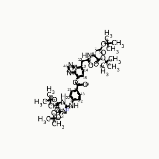 CC(C)(C)OC(=O)C[C@@H](NC(=O)Cc1ccc(OC(=O)c2ccc(N/C(=N/C(=O)OC(C)(C)C)NC(=O)OC(C)(C)C)cc2)c2ncnn12)C(=O)OC(C)(C)C